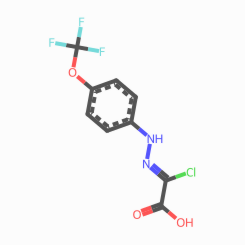 O=C(O)C(Cl)=NNc1ccc(OC(F)(F)F)cc1